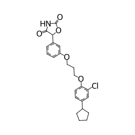 O=C1NC(=O)C(c2cccc(OCCCOc3ccc(C4CCCC4)cc3Cl)c2)O1